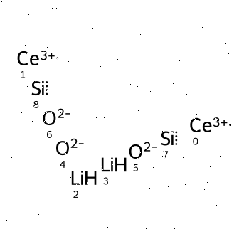 [Ce+3].[Ce+3].[LiH].[LiH].[O-2].[O-2].[O-2].[Si].[Si]